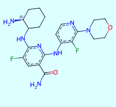 NC(=O)c1cc(F)c(NC2CCCC[C@@H]2N)nc1Nc1ccnc(N2CCOCC2)c1F